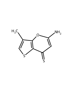 Cc1csc2c(=S)cc(N)oc12